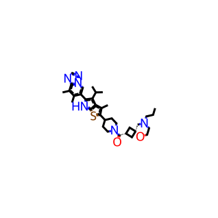 CCCN1CCO[C@]2(C1)C[C@@H](C(=O)N1CCC(c3sc4[nH]c(-c5cn6ncnc6c(C)c5C)c(C(C)C)c4c3C)CC1)C2